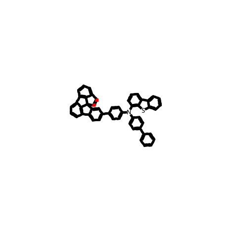 c1ccc(-c2ccc(N(c3ccc(-c4ccc5c(c4)C46c7ccccc7-c7cccc(c74)-c4cccc-5c46)cc3)c3cccc4c3sc3ccccc34)cc2)cc1